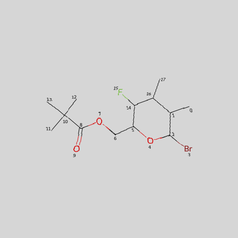 CC1C(Br)OC(COC(=O)C(C)(C)C)C(F)C1C